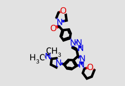 CN(C)C1CCN(c2ccc3c(c2)c(-c2cn(-c4ccc(C(=O)N5CCOCC5)cc4)nn2)nn3C2CCCCO2)C1